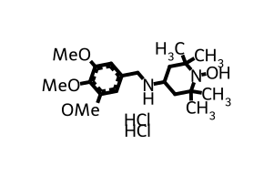 COc1cc(CNC2CC(C)(C)N(O)C(C)(C)C2)cc(OC)c1OC.Cl.Cl